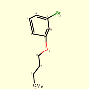 COCCCOc1[c]ccc(Br)c1